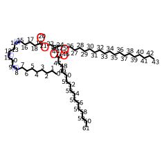 CCCCCCCC/C=C\C/C=C\C/C=C\CCCC(=O)OC[C@@H](COCCCCCCCCCCCCCCCCCC)OC(=O)CCCCCCCCCCCCCCC